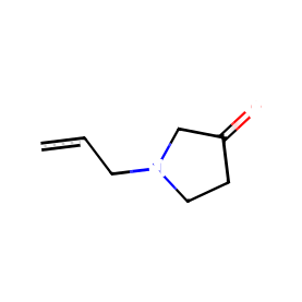 C=CCN1CCC(=O)C1